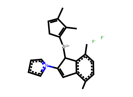 CC1=CC[C]([Zr+2][CH]2C(n3cccc3)=Cc3c(C)ccc(C)c32)=C1C.[F-].[F-]